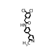 Cc1cc(-c2ccc(NC(=O)Cc3ccc(Cl)c(Cl)c3)cc2)ccn1